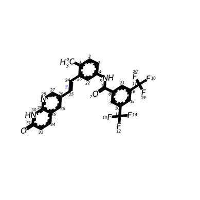 Cc1ccc(NC(=O)c2cc(C(F)(F)F)cc(C(F)(F)F)c2)cc1/C=C/c1cnc2[nH]c(=O)ccc2c1